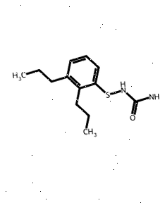 CCCc1cccc(SNC(N)=O)c1CCC